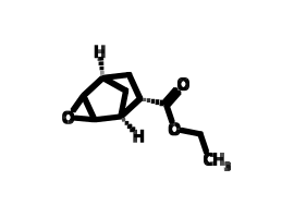 CCOC(=O)[C@H]1C[C@H]2C[C@@H]1C1OC12